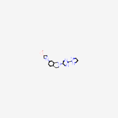 COC1CN(c2ccc3c(c2)CN(c2cnc(-c4ncccn4)nc2)CC3)C1